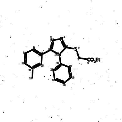 CCOC(=O)CSc1nnc(-c2cccc(C)c2)n1-c1ccccc1